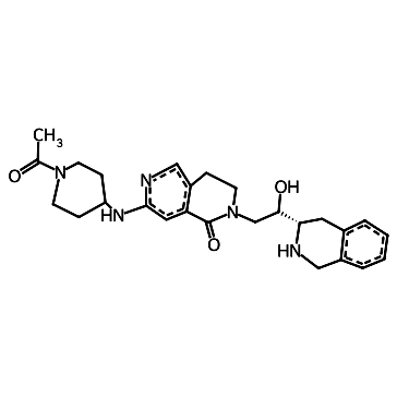 CC(=O)N1CCC(Nc2cc3c(cn2)CCN(CC(O)[C@@H]2Cc4ccccc4CN2)C3=O)CC1